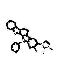 Cc1cc2c(cc1N1C=CN(C)[C@@H]1C)c1ccc3c4ccccc4sc3c1n2-c1ccccc1